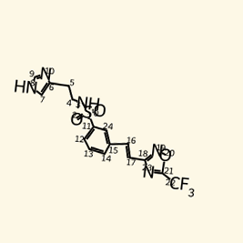 O=S(=O)(NCCc1c[nH]cn1)c1cccc(/C=C/c2noc(C(F)(F)F)n2)c1